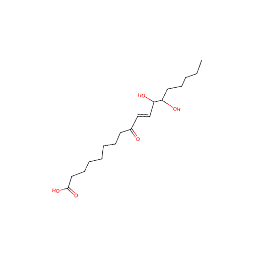 CCCCCC(O)C(O)C=CC(=O)CCCCCCCC(=O)O